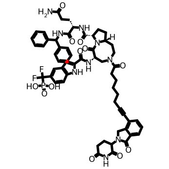 NC(=O)CC[C@H](NC(=O)[C@@H]1CC[C@@H]2CCN(C(=O)CCCCCC#Cc3cccc4c3CN(C3CCC(=O)NC3=O)C4=O)C[C@H](NC(=O)c3cc4cc(C(F)(F)P(=O)(O)O)ccc4[nH]3)C(=O)N21)C(=O)NC(c1ccccc1)c1ccccc1